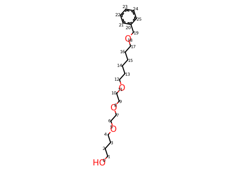 OCCCCOCCOCCOCCCCCCOCc1ccccc1